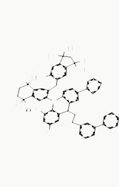 Cc1cc(C)c2c(c1)C(CCc1cccc(-c3ccccc3)c1)c1cc(-c3ccccc3)ccc1B2c1cc2c(cc1C(C)c1cc3c(cc1C)C(C)(C)CC3(C)C)C(C)(C)CCC2(C)C